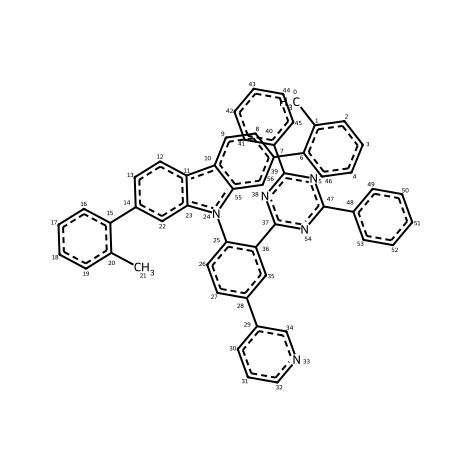 Cc1ccccc1-c1ccc2c3ccc(-c4ccccc4C)cc3n(-c3ccc(-c4cccnc4)cc3-c3nc(-c4ccccc4)nc(-c4ccccc4)n3)c2c1